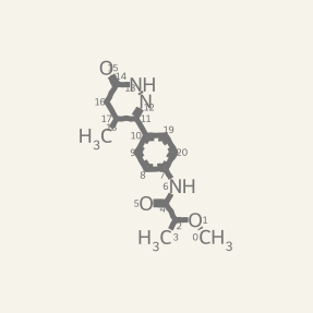 COC(C)C(=O)Nc1ccc(C2=NNC(=O)CC2C)cc1